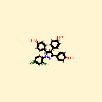 Oc1ccc(-c2nn(-c3ccc(F)cc3F)c(-c3ccc(O)cc3)c2-c2ccc(O)cc2)cc1